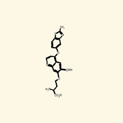 COc1cc2c(Oc3ccc4sc(C)nc4c3)ccnc2cc1OCCC(N)C(=O)O